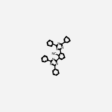 N#Cc1c(-c2nc(-c3ccccc3)nc(-c3ccccc3)n2)cccc1-c1nc(-c2ccccc2)nc(-c2ccccc2)n1